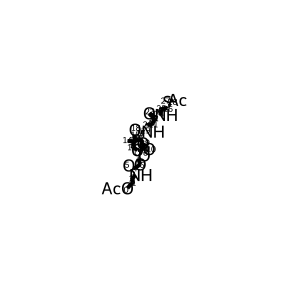 CC(=O)OCCNC(=O)OCOP1(=O)OCC(C)(C)[C@H](C(=O)NCCC(=O)NCCSC(C)=O)O1